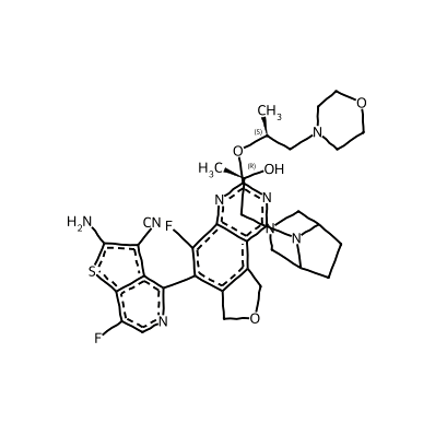 C[C@@H](O)CN1CC2CCC(C1)N2c1nc(O[C@@H](C)CN2CCOCC2)nc2c(F)c(-c3ncc(F)c4sc(N)c(C#N)c34)c3c(c12)COC3